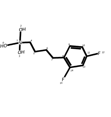 O[Si](O)(O)CCCCc1ccc(F)cc1F